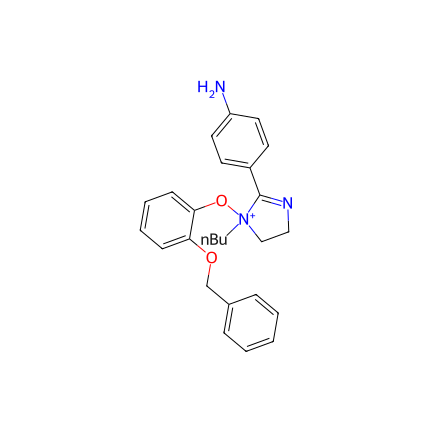 CCCC[N+]1(Oc2ccccc2OCc2ccccc2)CCN=C1c1ccc(N)cc1